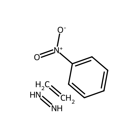 C=C.N=N.O=[N+]([O-])c1ccccc1